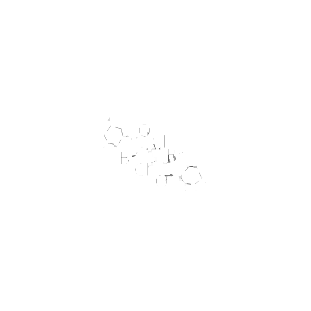 O=C(c1ccccc1)C(Br)C(Cl)C(Cl)C(Br)C(=O)c1ccccc1